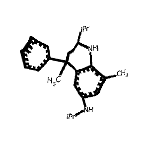 Cc1cc(NC(C)C)cc2c1NC(C(C)C)CC2(C)c1ccccc1